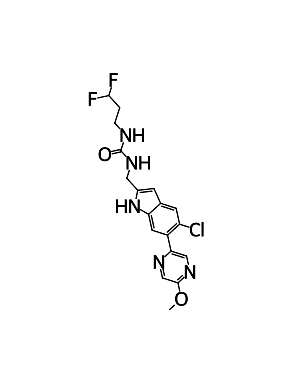 COc1cnc(-c2cc3[nH]c(CNC(=O)NCCC(F)F)cc3cc2Cl)cn1